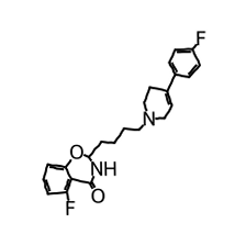 O=C1NC(CCCCN2CC=C(c3ccc(F)cc3)CC2)Oc2cccc(F)c21